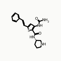 NC(=O)Nc1cc(/C=C/c2ccccc2)sc1C(=O)N[C@H]1CCCNC1